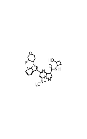 CNc1cc(-c2cn([C@H]3CCOC[C@@H]3F)c3ncccc23)nc2c(C(=O)NC3CCC3O)cnn12